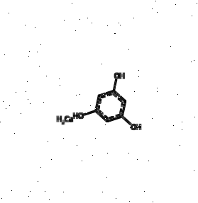 Oc1cc(O)cc(O)c1.[CaH2]